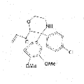 C=CC(=O)C1OCCNC1(c1ccc(Cl)cc1)c1ccc(OC)c(OC)c1